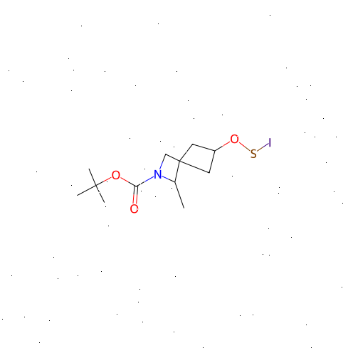 CC1N(C(=O)OC(C)(C)C)CC12CC(OSI)C2